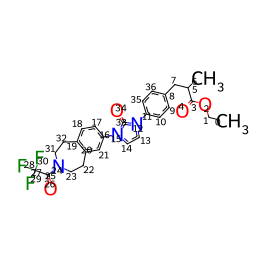 CCOC(=O)C(C)Cc1ccc(-n2ccn(-c3ccc4c(c3)CCN(C(=O)C(F)(F)F)CC4)c2=O)cc1